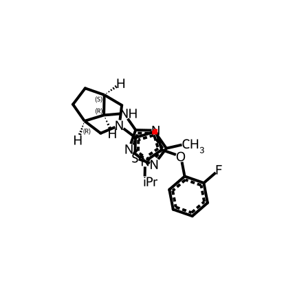 Cc1cc(N2C[C@H]3CC[C@@H](C2)[C@H]3Nc2nc(Oc3ccccc3F)n(C(C)C)n2)sn1